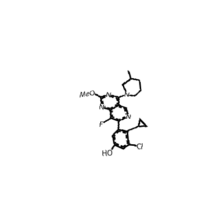 COc1nc(N2CCCC(C)C2)c2cnc(-c3cc(O)cc(Cl)c3C3CC3)c(F)c2n1